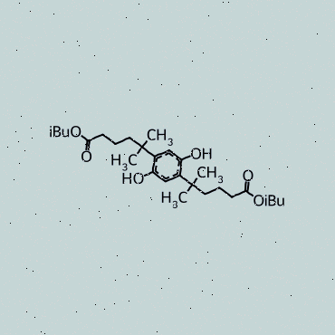 CC(C)COC(=O)CCCC(C)(C)c1cc(O)c(C(C)(C)CCCC(=O)OCC(C)C)cc1O